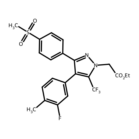 CCOC(=O)Cn1nc(-c2ccc(S(C)(=O)=O)cc2)c(-c2ccc(C)c(F)c2)c1C(F)(F)F